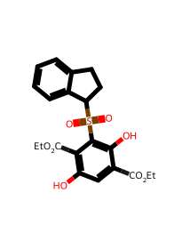 CCOC(=O)c1cc(O)c(C(=O)OCC)c(S(=O)(=O)C2CCc3ccccc32)c1O